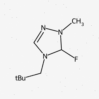 CN1N=CN(CC(C)(C)C)C1F